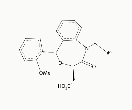 COc1ccccc1[C@H]1O[C@H](CC(=O)O)C(=O)N(CC(C)C)c2ccccc21